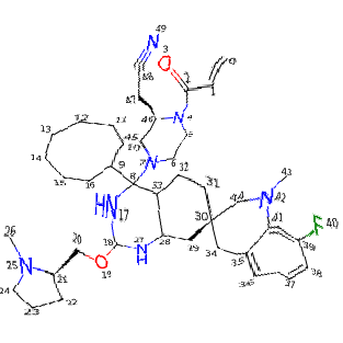 C=CC(=O)N1CCN(C2(C3CCCCCCC3)NC(OC[C@H]3CCCN3C)NC3C[C@]4(CCC32)Cc2cccc(F)c2N(C)C4)C[C@H]1CC#N